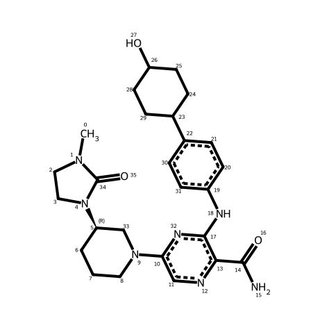 CN1CCN([C@@H]2CCCN(c3cnc(C(N)=O)c(Nc4ccc(C5CCC(O)CC5)cc4)n3)C2)C1=O